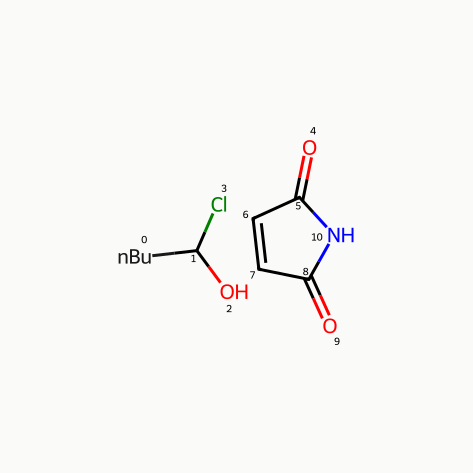 CCCCC(O)Cl.O=C1C=CC(=O)N1